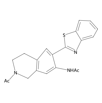 CC(=O)Nc1cc2c(cc1-c1nc3ccccc3s1)CCN(C(C)=O)C2